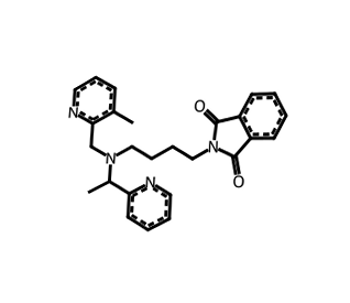 Cc1cccnc1CN(CCCCN1C(=O)c2ccccc2C1=O)C(C)c1ccccn1